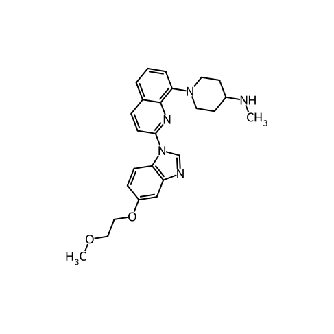 CNC1CCN(c2cccc3ccc(-n4cnc5cc(OCCOC)ccc54)nc23)CC1